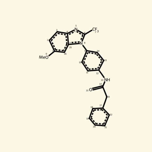 COc1ccc2nc(C(F)(F)F)n(-c3ccc(NC(=O)Cc4ccccc4)cc3)c2c1